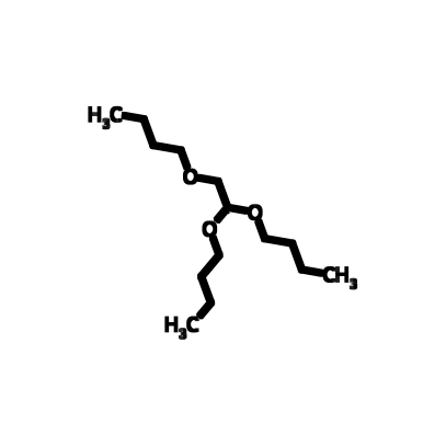 CCCCOC[C](OCCCC)OCCCC